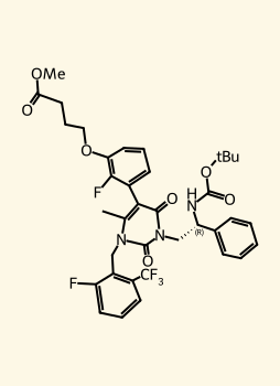 COC(=O)CCCOc1cccc(-c2c(C)n(Cc3c(F)cccc3C(F)(F)F)c(=O)n(C[C@H](NC(=O)OC(C)(C)C)c3ccccc3)c2=O)c1F